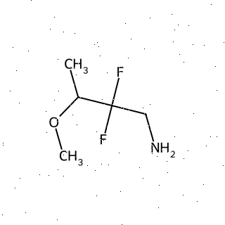 COC(C)C(F)(F)CN